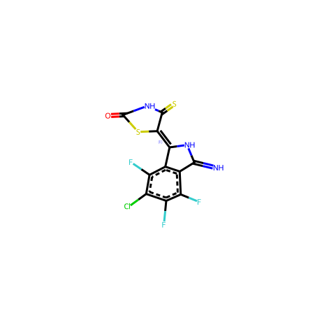 N=C1N/C(=C2/SC(=O)NC2=S)c2c(F)c(Cl)c(F)c(F)c21